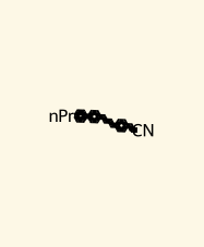 CCCc1ccc(C2CCC(CCCCC3CCC(C=CC#N)CC3)CC2)cc1